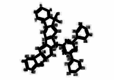 CC1(C)c2ccccc2-c2cc3c4cc5c(cc4n(-c4nc(-c6ccccc6)nc(-c6ccccc6)n4)c3cc21)sc1ccccc15